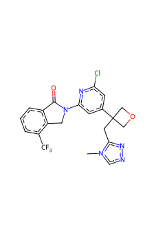 Cn1cnnc1CC1(c2cc(Cl)nc(N3Cc4c(cccc4C(F)(F)F)C3=O)c2)COC1